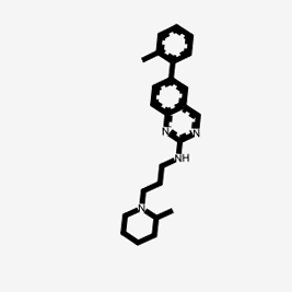 Cc1ccccc1-c1ccc2nc(NCCCN3CCCCC3C)ncc2c1